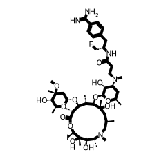 CO[C@]1(C)C[C@H](O[C@H]2[C@H](C)[C@@H](O[C@@H]3O[C@H](C)C[C@H](N(C)CCC(=O)N[C@H](CF)Cc4ccc(C(=N)N)cc4)[C@H]3O)[C@](C)(O)C[C@@H](C)CN(C)[C@H](C)[C@@H](O)[C@](C)(O)[C@@H](I)OC(=O)[C@@H]2C)O[C@@H](C)[C@@H]1O